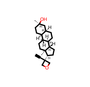 C#CC1([C@H]2CC[C@H]3[C@@H]4CC[C@@H]5C[C@](C)(O)CC[C@@H]5[C@H]4CC[C@]23C)COC1